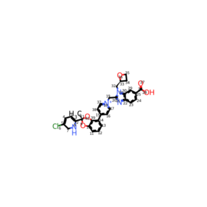 C[C@]1(C2=CC=C(Cl)CN2)Oc2cccc(-c3cc[n+](Cc4nc5ccc(C(=O)O)cc5n4C[C@@H]4CCO4)cc3)c2O1